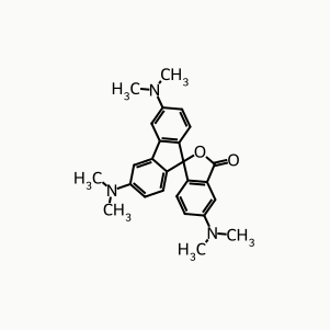 CN(C)c1ccc2c(c1)C(=O)OC21c2ccc(N(C)C)cc2-c2cc(N(C)C)ccc21